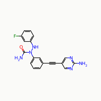 NC(=O)N(Nc1cccc(F)c1)c1cccc(C#Cc2cnc(N)nc2)c1